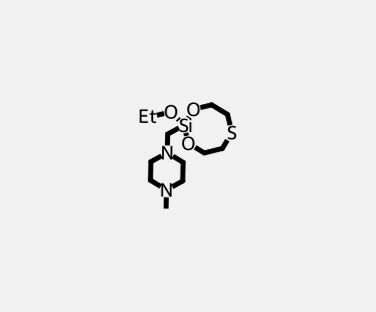 CCO[Si]1(CN2CCN(C)CC2)OCCSCCO1